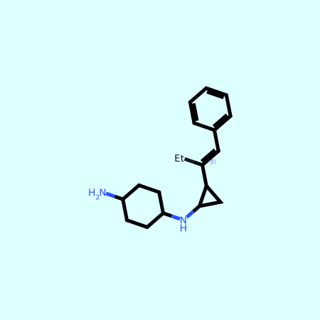 CC/C(=C\c1ccccc1)C1CC1NC1CCC(N)CC1